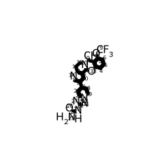 CC(c1ccccc1OC(F)(F)F)N1CCc2ncc(-c3ccn4nc(NC(N)=O)nc4c3)cc2C1=O